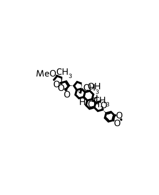 CO[C@@]1(C)CO[C@@]2(C=C([C@@H]3CC[C@]45C[C@]34CC[C@@H]3[C@@]4(C)CC=C6C[C@@H](c7ccc8c(c7)OCO8)OC[C@]6(C)[C@@H]4C[C@@H](O)[C@]35C)C(=O)O2)C1